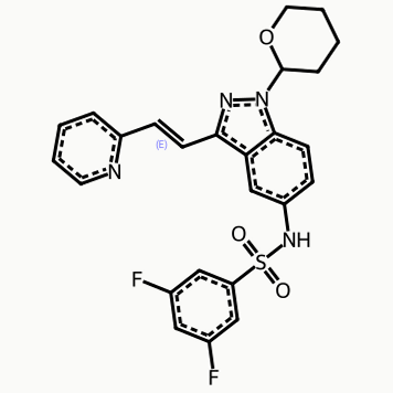 O=S(=O)(Nc1ccc2c(c1)c(/C=C/c1ccccn1)nn2C1CCCCO1)c1cc(F)cc(F)c1